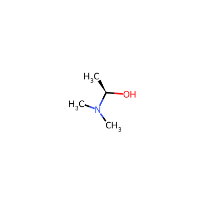 C[C@@H](O)N(C)C